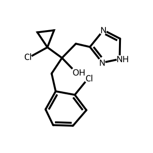 OC(Cc1nc[nH]n1)(Cc1ccccc1Cl)C1(Cl)CC1